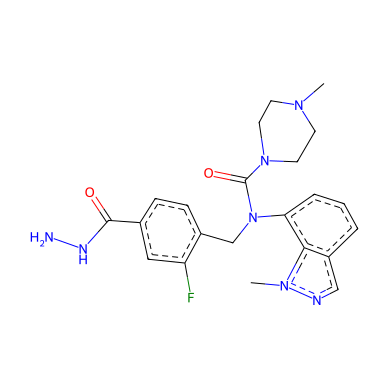 CN1CCN(C(=O)N(Cc2ccc(C(=O)NN)cc2F)c2cccc3cnn(C)c23)CC1